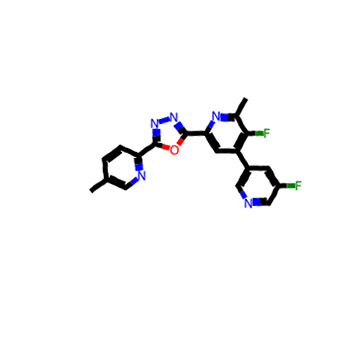 Cc1ccc(-c2nnc(-c3cc(-c4cncc(F)c4)c(F)c(C)n3)o2)nc1